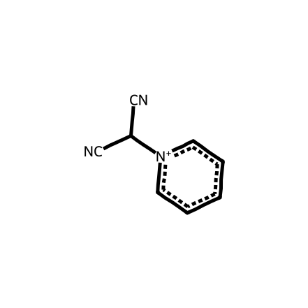 N#CC(C#N)[n+]1ccccc1